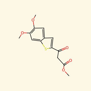 COC(=O)CC(=O)c1cc2cc(OC)c(OC)cc2s1